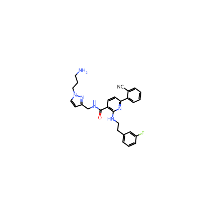 N#Cc1ccccc1-c1ccc(C(=O)NCc2ccn(CCCN)n2)c(NCCc2cccc(F)c2)n1